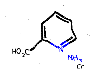 N.O=C(O)c1ccccn1.[Cr]